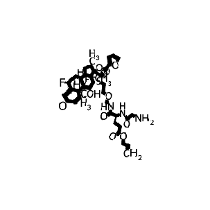 C=CCOC(=O)CC[C@H](NC(=O)CN)C(=O)NCOCCSC(=O)[C@@]1(OC(=O)c2ccco2)[C@H](C)C[C@H]2[C@@H]3C[C@H](F)C4=CC(=O)C=C[C@]4(C)[C@@]3(F)[C@@H](O)C[C@@]21C